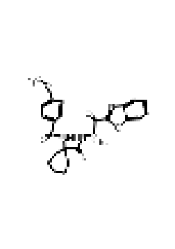 CC[C@H](NC(=O)C1(NC(=O)c2ccc(OC(F)(F)F)cc2)CCCCC1)C(=O)c1nc2ccccc2o1